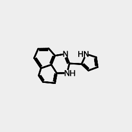 c1c[nH]c(C2=Nc3cccc4cccc(c34)N2)c1